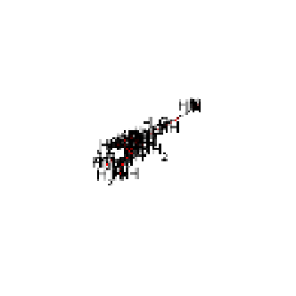 CC(=O)[C@@H]1CCCCNC(=O)CC[C@H](NC(=O)[C@@H](CC(C)C)NC(=O)[C@H](CNC(C)C)NC(=O)[C@H](Cc2c[nH]cn2)NC(=O)[C@H](CCC(N)=O)NC(=O)[C@H](CO)NC(=O)CNC(=O)COCCOCCNC(=O)CCCCCCCCCCCCCCCc2nnn[nH]2)C(=O)N2C[C@H](O)C[C@H]2C(=O)N[C@H](Cc2ccccc2)C(=O)N[C@@H](CCCNC(=N)N)C(=O)N[C@@H](Cc2c[nH]c3ccccc23)C(=O)N1